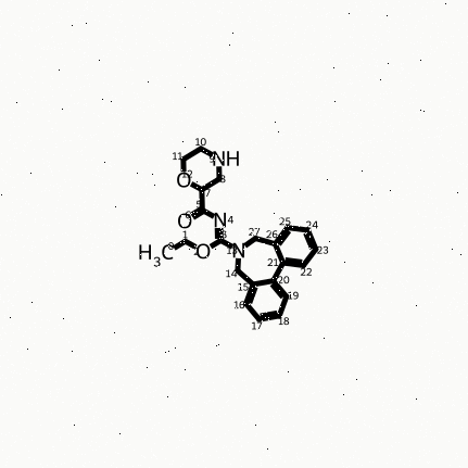 CCOC(=NC(=O)C1CNCCO1)N1Cc2ccccc2-c2ccccc2C1